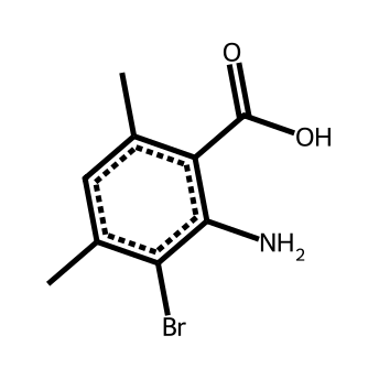 Cc1cc(C)c(C(=O)O)c(N)c1Br